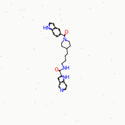 O=C(NCCCCC1CCN(C(=O)c2ccc3[nH]ccc3c2)CC1)c1cc2cnccc2[nH]1